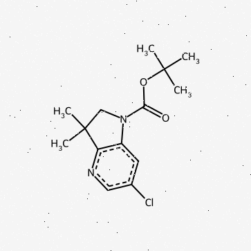 CC(C)(C)OC(=O)N1CC(C)(C)c2ncc(Cl)cc21